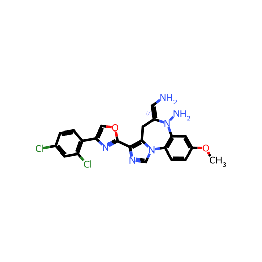 COc1ccc2c(c1)N(N)/C(=C\N)Cc1c(-c3nc(-c4ccc(Cl)cc4Cl)co3)ncn1-2